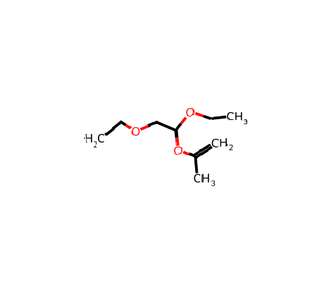 [CH2]COCC(OCC)OC(=C)C